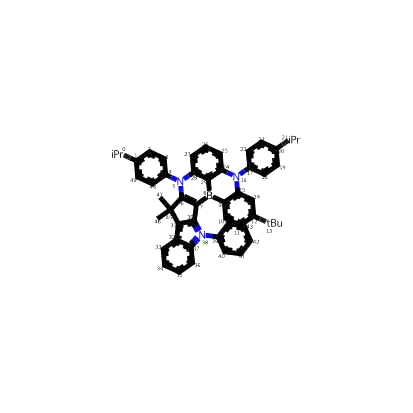 CC(C)c1ccc(N2C3=C(B4c5ccc(C(C)(C)C)cc5N(c5ccc(C(C)C)cc5)c5cccc2c54)c2c(c4ccccc4n2-c2ccccc2)C3(C)C)cc1